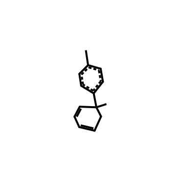 Cc1ccc(C2(C)C=CC=CC2)cc1